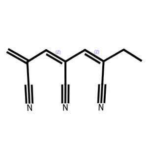 C=C(C#N)/C=C(C#N)/C=C(\C#N)CC